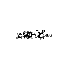 CC(C)(C)n1ncc(OCc2ccc([Si](C)(n3ccnc3)C(C)(C)C)cc2)c(Cl)c1=O